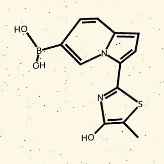 Cc1sc(-c2ccc3ccc(B(O)O)cn23)nc1O